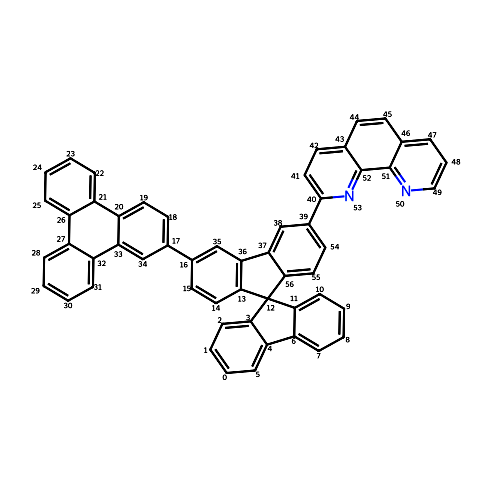 c1ccc2c(c1)-c1ccccc1C21c2ccc(-c3ccc4c5ccccc5c5ccccc5c4c3)cc2-c2cc(-c3ccc4ccc5cccnc5c4n3)ccc21